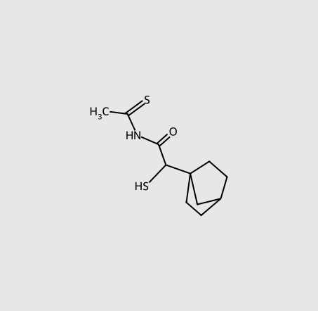 CC(=S)NC(=O)C(S)C12CCC(CC1)C2